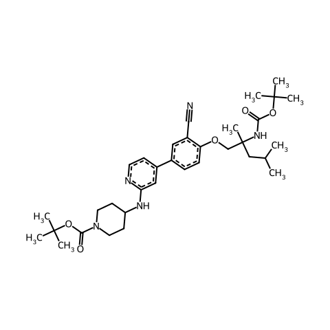 CC(C)CC(C)(COc1ccc(-c2ccnc(NC3CCN(C(=O)OC(C)(C)C)CC3)c2)cc1C#N)NC(=O)OC(C)(C)C